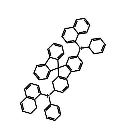 C1=CCC(N(c2ccc3c(c2)C2(C4=C3C=CC(N(c3ccccc3)c3cccc5c3CCC=C5)C4)c3ccccc3-c3ccccc32)c2cccc3ccccc23)C=C1